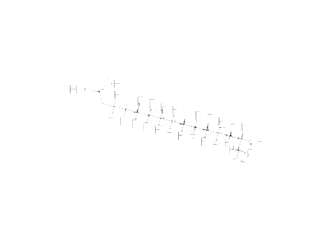 [CH2]C(O)CC(F)(F)C(F)(F)C(F)(F)C(F)(F)C(F)(F)C(F)(F)C(F)(F)C(F)(F)C(F)(F)C(F)(F)C(F)(F)C(F)(C(F)(F)F)C(F)(F)C(F)(F)F